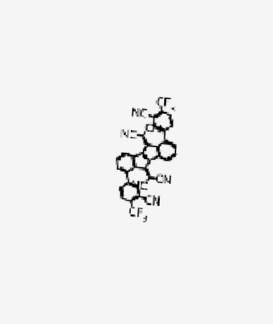 N#CC(C#N)=C1C2=C(C(=C(C#N)C#N)c3c2cccc3-c2ccc(C(F)(F)F)c(C#N)c2)c2cccc(-c3ccc(C(F)(F)F)c(C#N)c3)c21